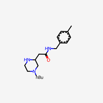 CCCCN1CCNC(CC(=O)NCc2ccc(C)cc2)C1